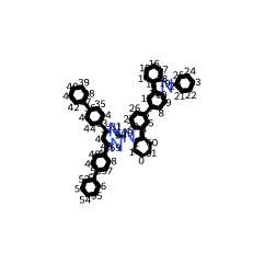 C1=Cc2c(c3cc(-c4ccc5c(c4)c4ccccc4n5-c4ccccc4)ccc3n2-c2nc(-c3ccc(-c4ccccc4)cc3)cc(-c3ccc(-c4ccccc4)cc3)n2)CC1